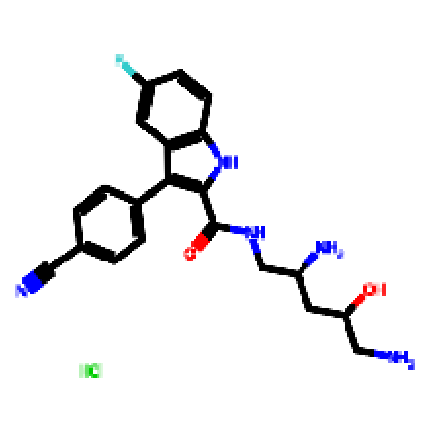 Cl.N#Cc1ccc(-c2c(C(=O)NC[C@@H](N)CC(O)CN)[nH]c3ccc(F)cc23)cc1